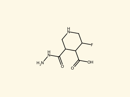 NNC(=O)C1CNCC(F)C1C(=O)O